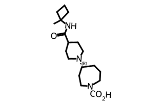 CC1(NC(=O)C2CCN([C@@H]3CCCN(C(=O)O)CC3)CC2)CCC1